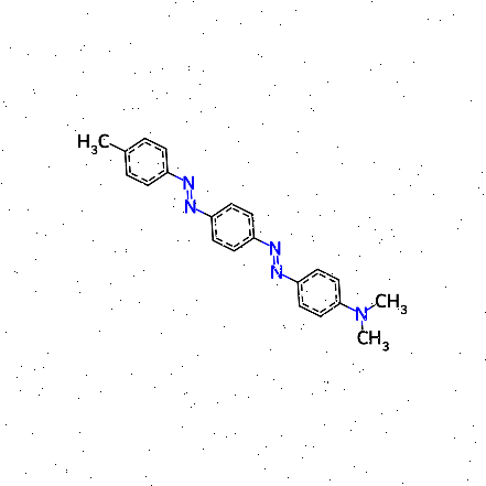 Cc1ccc(N=Nc2ccc(N=Nc3ccc(N(C)C)cc3)cc2)cc1